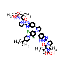 COC(=O)N[C@H](C(=O)N1CCC[C@H]1c1nc2cc([C@H]3CC[C@H](c4ccc5[nH]c([C@@H]6CCCN6C(=O)[C@H](C(C)C)N(C)C(=O)O)nc5c4)N3c3cc(F)c(N4CCC(C(C)C)CC4)c(F)c3)ccc2[nH]1)C(C)C